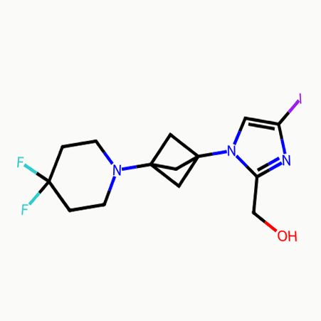 OCc1nc(I)cn1C12CC(N3CCC(F)(F)CC3)(C1)C2